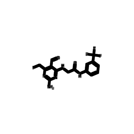 Nc1nc(CI)c(C=O)c(NCC(=O)Nc2cccc(C(F)(F)F)c2)n1